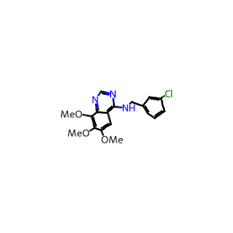 COc1cc2c(NCc3cccc(Cl)c3)ncnc2c(OC)c1OC